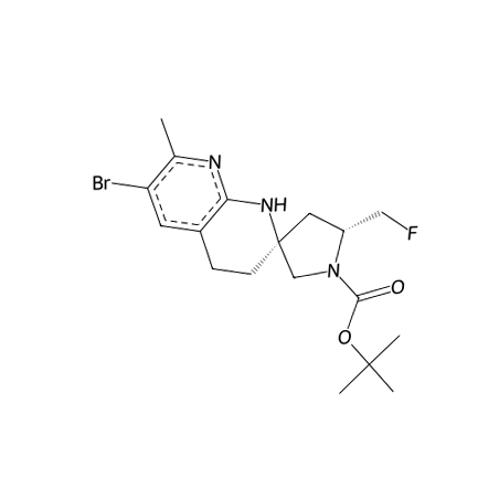 Cc1nc2c(cc1Br)CC[C@@]1(C[C@H](CF)N(C(=O)OC(C)(C)C)C1)N2